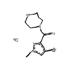 Cl.Cn1cc(Br)c(C(=O)N2CCNCC2)n1